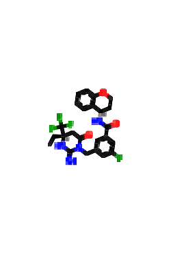 CC[C@@]1(C(F)(F)F)CC(=O)N(Cc2cc(F)cc(C(=O)N[C@H]3CCOc4ccccc43)c2)C(=N)N1